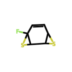 FC12C=CC3SC3C1S2